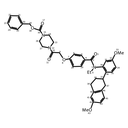 CCN(C(=O)c1ccc(OCC(=O)N2CCN(C(=O)OCc3ccccc3)CC2)cc1)c1cc(OC)ccc1C1CCc2cc(OC)ccc2C1